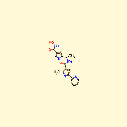 Cc1nc(-c2ccccn2)sc1C(=O)N[C@H](C)c1ncc(C(=O)NO)s1